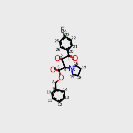 O=C(C(=O)C(C(=O)OCc1ccccc1)N1CCCC1)c1ccc(F)cc1